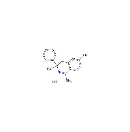 Cl.N#Cc1ccc2c(c1)CC(c1ccccc1)(C(F)(F)F)N=C2N